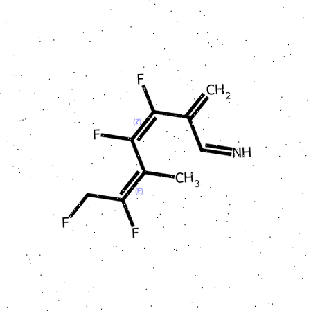 C=C(C=N)/C(F)=C(F)\C(C)=C(\F)CF